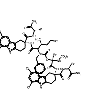 CC(C)[C@H](NC(=O)[C@@]1(NC(=O)C([C@@H](C)CCCl)N(Cc2ccccc2)C(=O)O[C@](NC(=O)O)(C(=O)N[C@]2(C(=O)N[C@H](C(N)=O)C(C)C)CCc3[nH]c4c(Cl)cc(Cl)cc4c3C2)C(C)C)CCc2[nH]c3c(Cl)cc(Cl)cc3c2C1)C(N)=O